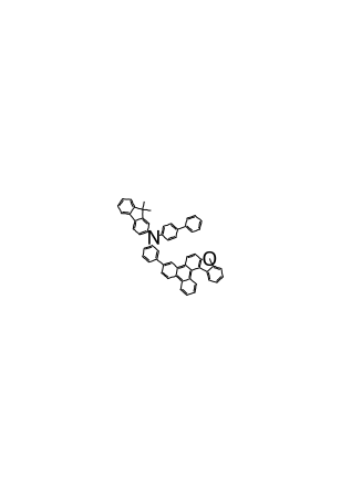 CC1(C)c2ccccc2-c2ccc(N(c3ccc(-c4ccccc4)cc3)c3cccc(-c4ccc5c6ccccc6c6c(ccc7oc8ccccc8c76)c5c4)c3)cc21